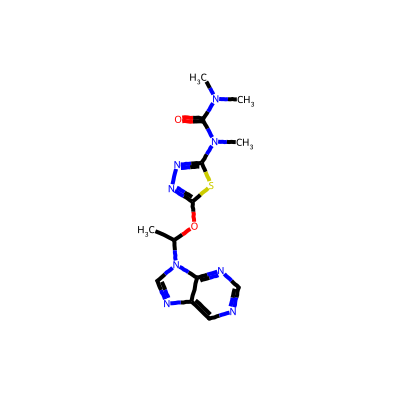 CC(Oc1nnc(N(C)C(=O)N(C)C)s1)n1cnc2cncnc21